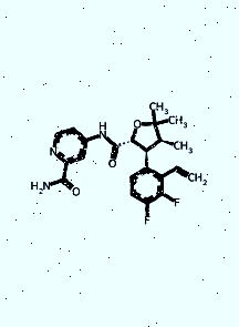 C=Cc1c([C@H]2[C@H](C(=O)Nc3ccnc(C(N)=O)c3)OC(C)(C)[C@H]2C)ccc(F)c1F